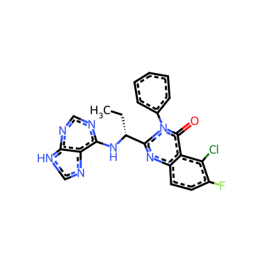 CC[C@@H](Nc1ncnc2[nH]cnc12)c1nc2ccc(F)c(Cl)c2c(=O)n1-c1ccccc1